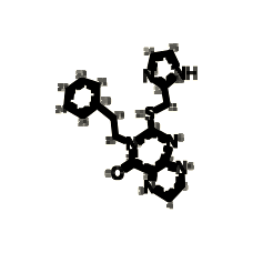 O=c1c2nccnc2nc(SCc2ncc[nH]2)n1CCc1ccccc1